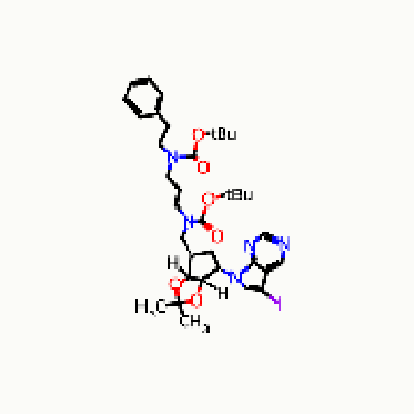 CC(C)(C)OC(=O)N(CCCN(C[C@H]1C[C@@H](n2cc(I)c3cncnc32)[C@@H]2OC(C)(C)O[C@H]12)C(=O)OC(C)(C)C)CCc1ccccc1